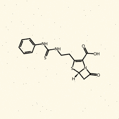 O=C(O)C1=C(CCNC(=S)Nc2ccccc2)S[C@H]2CC(=O)N12